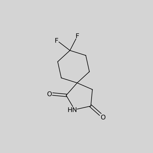 O=C1CC2(CCC(F)(F)CC2)C(=O)N1